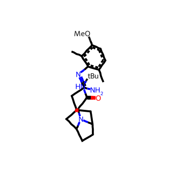 COc1ccc(C)c(/N=C(\N)CC2CC3CCC(C2)N3CC(=O)NC(C)(C)C)c1C